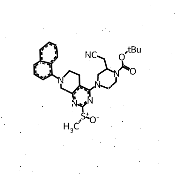 C[S+]([O-])c1nc2c(c(N3CCN(C(=O)OC(C)(C)C)C(CC#N)C3)n1)CCN(c1cccc3ccccc13)C2